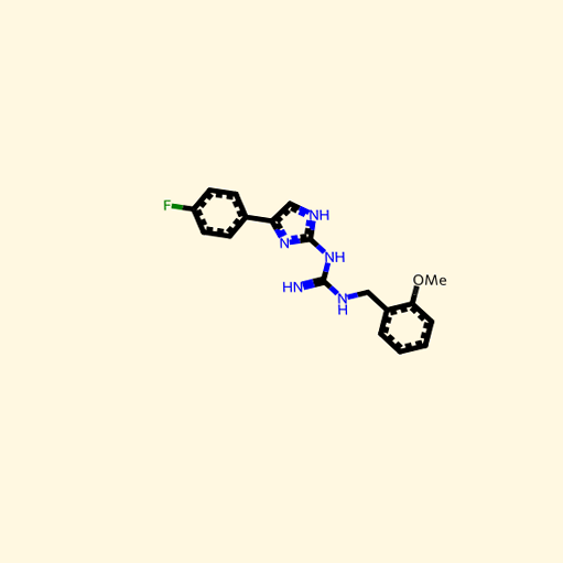 COc1ccccc1CNC(=N)Nc1nc(-c2ccc(F)cc2)c[nH]1